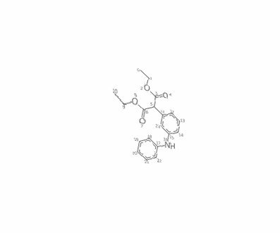 CCOC(=O)C(C(=O)OCC)c1cccc(Nc2ccccc2)c1